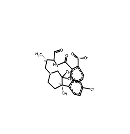 C[C@@H](CN1CC[C@](O)(c2ccc(Cl)cc2)C(C)(C)C1)C(C=O)NC(=O)c1ccccc1[N+](=O)[O-]